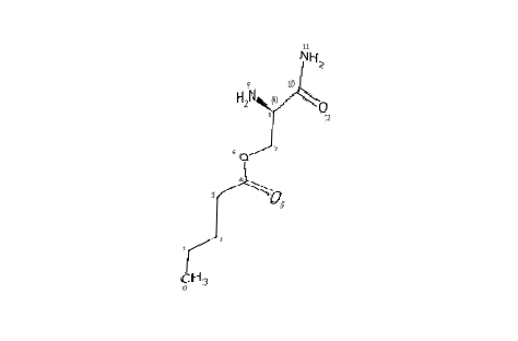 CCCCC(=O)OC[C@@H](N)C(N)=O